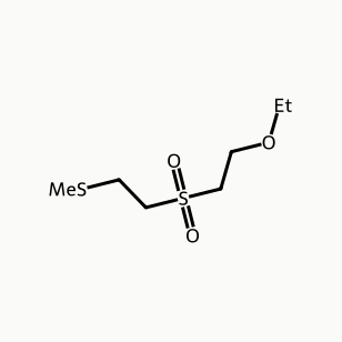 CCOCCS(=O)(=O)CCSC